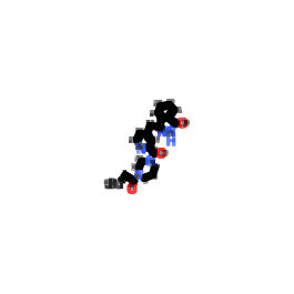 CC(C)(C)CC(=O)N1CCCN(C(=O)c2cc(Cc3n[nH]c(=O)c4ccccc34)ccn2)CC1